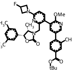 COc1ncc(-c2ccc(C(=O)OC(C)(C)C)cc2C)cc1-c1ccc(N2CC(F)C2)nc1CN1C(=O)O[C@H](c2cc(C)cc(C(F)(F)F)c2)[C@@H]1C